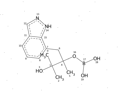 CC(C)(O)C(C)(Cc1cccc2cn[nH]c12)OB(O)O